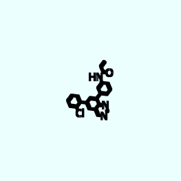 C=CC(=O)Nc1cccc(-c2cc(-c3ccccc3Cl)cc3cncnc23)c1